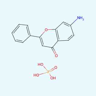 Nc1ccc2c(=O)cc(-c3ccccc3)oc2c1.O=P(O)(O)O